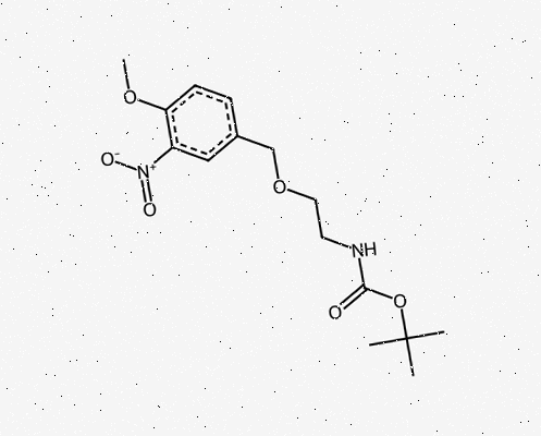 COc1ccc(COCCNC(=O)OC(C)(C)C)cc1[N+](=O)[O-]